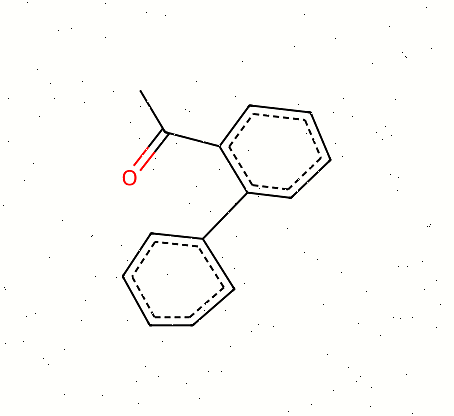 CC(=O)c1ccccc1-c1ccccc1